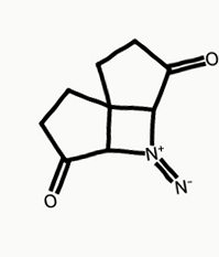 [N-]=[N+]1C2C(=O)CCC23CCC(=O)C13